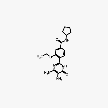 CCOc1cc(C(=O)NC2CCCC2)ccc1-c1nc(N)c(N)c(=O)[nH]1